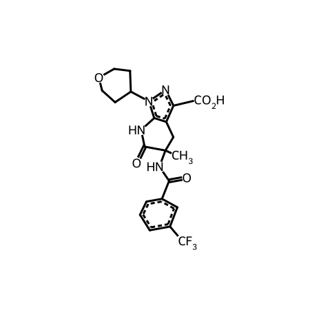 CC1(NC(=O)c2cccc(C(F)(F)F)c2)Cc2c(C(=O)O)nn(C3CCOCC3)c2NC1=O